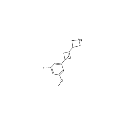 COc1cc(F)cc(C23CC(C4CNC4)(C2)C3)c1